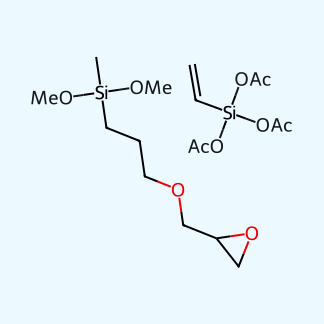 C=C[Si](OC(C)=O)(OC(C)=O)OC(C)=O.CO[Si](C)(CCCOCC1CO1)OC